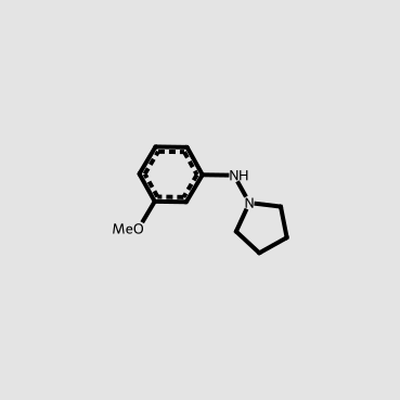 COc1cccc(NN2CCCC2)c1